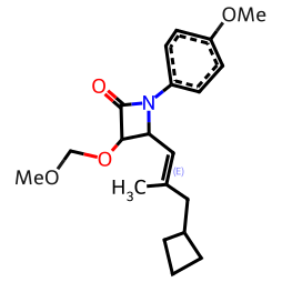 COCOC1C(=O)N(c2ccc(OC)cc2)C1/C=C(\C)CC1CCC1